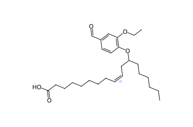 CCCCCCC(C/C=C\CCCCCCCC(=O)O)Oc1ccc(C=O)cc1OCC